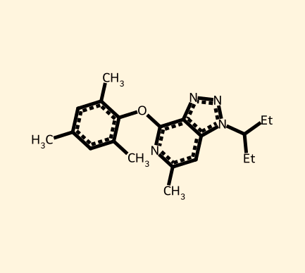 CCC(CC)n1nnc2c(Oc3c(C)cc(C)cc3C)nc(C)cc21